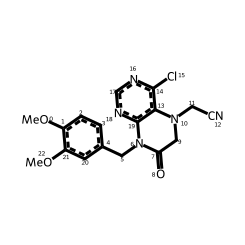 COc1ccc(CN2C(=O)CN(CC#N)c3c(Cl)ncnc32)cc1OC